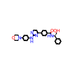 O=C(N[C@@H](CO)c1ccccc1)c1ccc(-c2ccnc(Nc3ccc(N4CCOCC4)cc3)n2)cc1